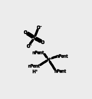 CCCCC[N+](CCCCC)(CCCCC)CCCCC.O=S(=O)([O-])[O-].[H+]